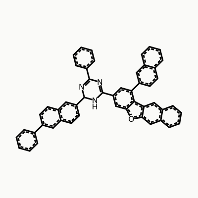 c1ccc(C2=NC(c3ccc4cc(-c5ccccc5)ccc4c3)NC(c3cc(-c4ccc5ccccc5c4)c4c(c3)oc3cc5ccccc5cc34)=N2)cc1